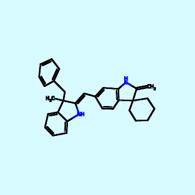 C=C1Nc2cc(/C=C3\Nc4ccccc4C3(C)Cc3ccccc3)ccc2C12CCCCC2